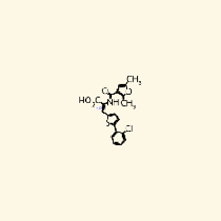 Cc1cc(C(=O)N/C(=C\c2ccc(-c3ccccc3Cl)s2)C(=O)O)c(C)o1